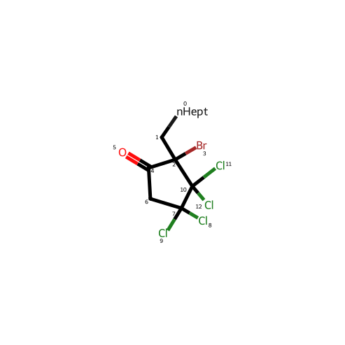 CCCCCCCCC1(Br)C(=O)CC(Cl)(Cl)C1(Cl)Cl